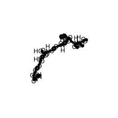 CN1C(=O)C[C@H](C(=O)NCCOC2CCC(OCCCC(=O)NC3CCC(C(=O)N(CC(=O)O)CC(=O)NCCOC4CCC(OCCCC(=O)NC5CCC(C(=O)N[C@@H](Cc6ccc7ccccc7c6)C(=O)NCCCC[C@H](NC(=O)N[C@@H](CCC(=O)OC(C)(C)C)C(=O)OC(C)(C)C)C(=O)OC(C)(C)C)CC5)CC4)CC3)CC2)[C@H]1c1cccnc1